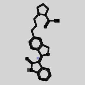 O=C1Nc2ccccc2/C1=C1\OCc2cc(CCCN3CCCC3C(=O)O)ccc21